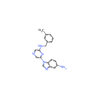 Cc1cccc(CNc2cncc(-n3cnc4cc(N)ccc43)n2)c1